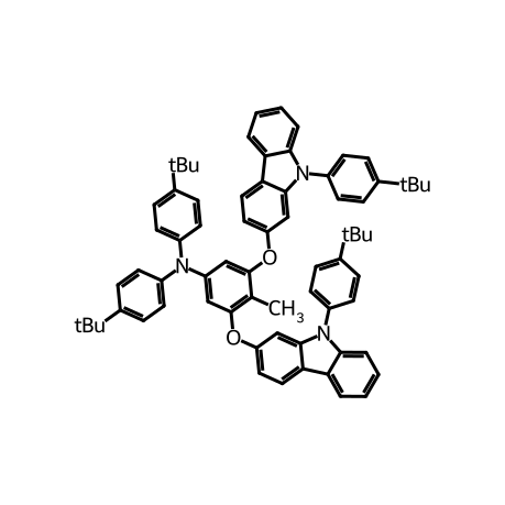 Cc1c(Oc2ccc3c4ccccc4n(-c4ccc(C(C)(C)C)cc4)c3c2)cc(N(c2ccc(C(C)(C)C)cc2)c2ccc(C(C)(C)C)cc2)cc1Oc1ccc2c3ccccc3n(-c3ccc(C(C)(C)C)cc3)c2c1